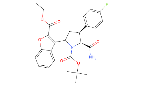 CCOC(=O)c1oc2ccccc2c1C1C[C@@H](c2ccc(F)cc2)[C@@H](C(N)=O)N1C(=O)OC(C)(C)C